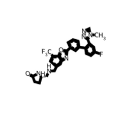 Cn1cnnc1-c1cc(F)ccc1-c1cccc(-c2nc3cc(CNC[C@@H]4CCC(=O)N4)cc(C(F)(F)F)c3o2)c1